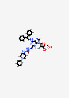 O=C(NCc1nc(NCC(c2ccccc2)c2ccccc2)c2ncn([C@@H]3O[C@H](CO)[C@@H](O)[C@@H]3O)c2n1)NC1CCN(c2ccccn2)CC1